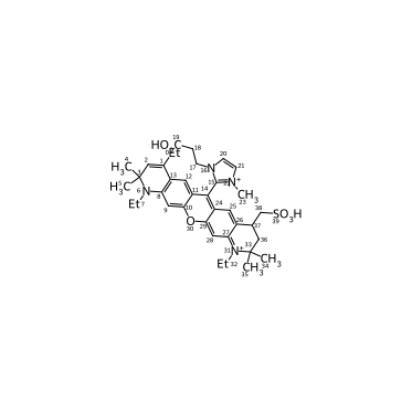 CCC1=CC(C)(C)N(CC)c2cc3c(cc21)C(c1n(CCC(=O)O)cc[n+]1C)=c1cc2c(cc1O3)=[N+](CC)C(C)(C)CC2CS(=O)(=O)O